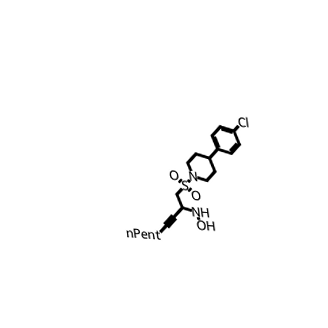 CCCCCC#CC(CS(=O)(=O)N1CCC(c2ccc(Cl)cc2)CC1)NO